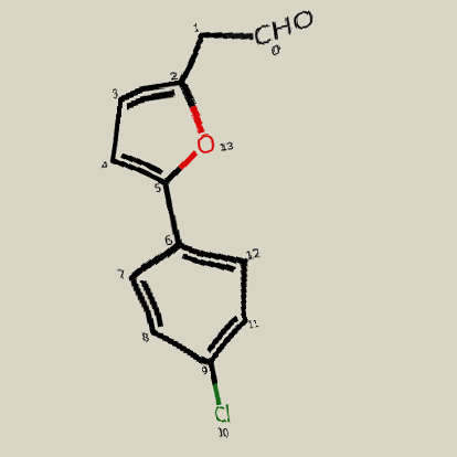 O=CCc1ccc(-c2ccc(Cl)cc2)o1